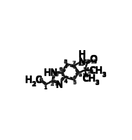 C=Cc1nc2cc3c(cc2[nH]1)NC(=O)C3(C)C